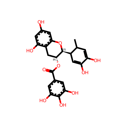 CC1C=C(O)C(O)=CC1[C@@H]1Oc2cc(O)cc(O)c2C[C@H]1OC(=O)c1cc(O)c(O)c(O)c1